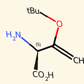 C=C(OC(C)(C)C)[C@H](N)C(=O)O